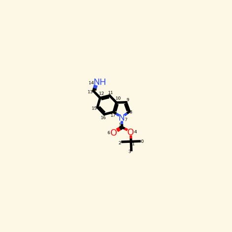 CC(C)(C)OC(=O)n1ccc2cc(C=N)ccc21